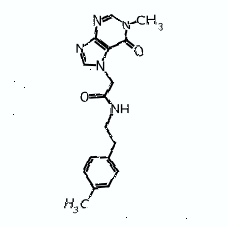 Cc1ccc(CCNC(=O)Cn2cnc3ncn(C)c(=O)c32)cc1